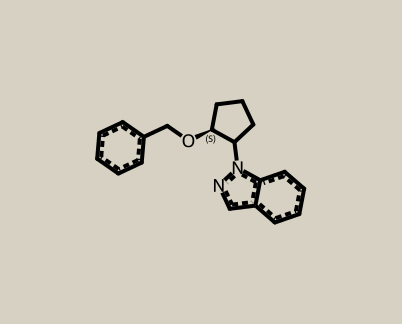 c1ccc(CO[C@H]2CCCC2n2ncc3ccccc32)cc1